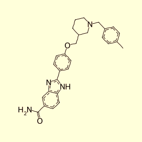 Cc1ccc(CN2CCCC(COc3ccc(-c4nc5cc(C(N)=O)ccc5[nH]4)cc3)C2)cc1